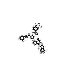 O=C(O[C@H]1C[C@H](c2csc3c(N[C@H]4CCc5ccccc54)ncnc23)C[C@H]1COCc1ccccc1)c1ccc([N+](=O)[O-])cc1